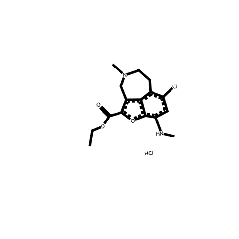 CCOC(=O)c1oc2c(NC)cc(Cl)c3c2c1CN(C)CC3.Cl